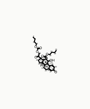 CCCCOC(=O)OCC(=O)[C@@]1(OC(=O)OCCCC)CC[C@H]2[C@@H]3CCC4=CC(=O)C=C[C@]4(C)[C@@]3(Cl)C(O)C[C@@]21C